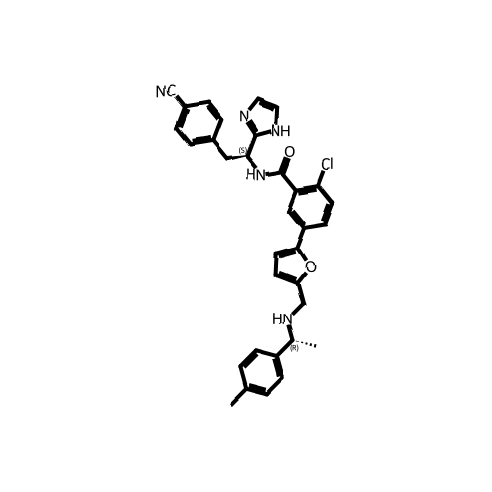 Cc1ccc([C@@H](C)NCc2ccc(-c3ccc(Cl)c(C(=O)N[C@@H](Cc4ccc(C#N)cc4)c4ncc[nH]4)c3)o2)cc1